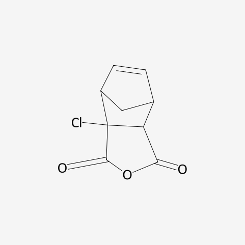 O=C1OC(=O)C2(Cl)C3C=CC(C3)C12